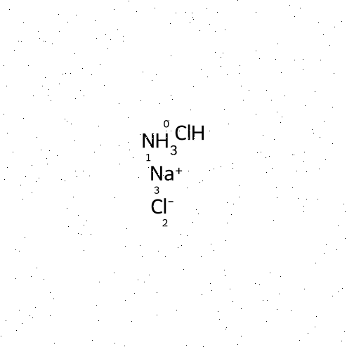 Cl.N.[Cl-].[Na+]